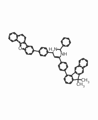 CC1(C)c2cc3ccccc3cc2-c2c(-c3ccc(/C(=C/Cc4ccc(-c5ccc6oc7c8ccccc8ccc7c6c5)cc4)NC(N)c4ccccc4)cc3)cccc21